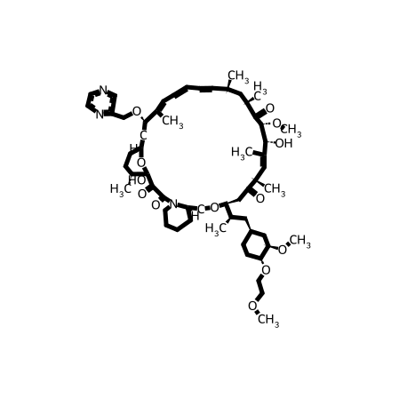 COCCO[C@@H]1CC[C@@H](C[C@@H](C)[C@@H]2CC(=O)[C@H](C)/C=C(\C)[C@@H](O)[C@@H](OC)C(=O)[C@H](C)C[C@H](C)/C=C/C=C/C=C(\C)[C@@H](OCc3cnccn3)C[C@@H]3CC[C@@H](C)[C@@](O)(O3)C(=O)C(=O)N3CCCC[C@H]3CO2)C[C@H]1OC